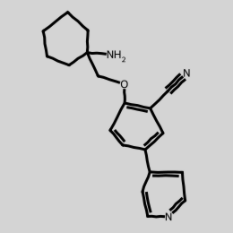 N#Cc1cc(-c2ccncc2)ccc1OCC1(N)CCCCC1